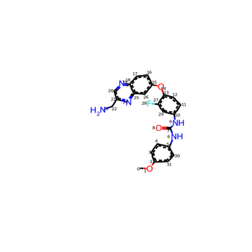 COc1ccc(NC(=O)Nc2ccc(Oc3ccc4ncc(CN)nc4c3)c(F)c2)cc1